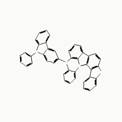 c1ccc(-n2c3ccccc3c3cc(N4c5ccccc5-n5c6c4cccc6c4ccc6sc7ccccc7c6c45)ccc32)cc1